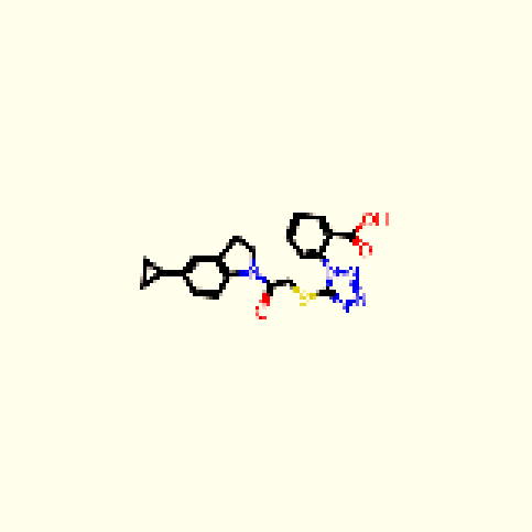 O=C(O)c1ccccc1-n1nnnc1SCC(=O)N1CCc2cc(C3CC3)ccc21